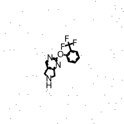 FC(F)(F)c1ccccc1Oc1ncc2c(n1)CNC2